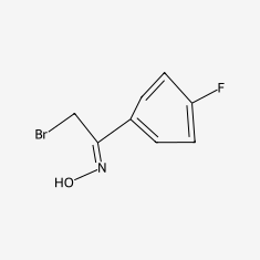 ON=C(CBr)c1ccc(F)cc1